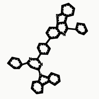 c1ccc(-c2cc(-n3c4ccccc4c4ccccc43)nc(-c3ccc(-c4ccc5c(c4)nc(-c4ccccc4)c4c6ccccc6sc54)cc3)n2)cc1